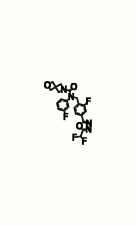 O=C(N1CC2(COC2)C1)N(Cc1ccc(-c2nnc(C(F)F)o2)cc1F)c1cccc(F)c1